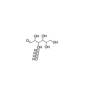 Cl.Cl.Cl.Cl.O=CC(O)C(O)C(O)C(O)CO